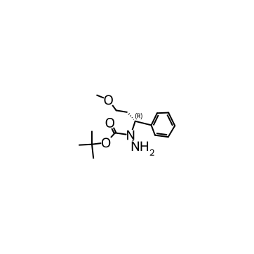 COCC[C@H](c1ccccc1)N(N)C(=O)OC(C)(C)C